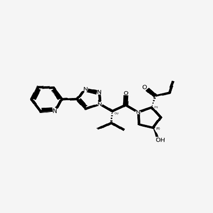 CCC(=O)[C@@H]1C[C@@H](O)CN1C(=O)[C@H](C(C)C)n1cc(-c2ccccn2)nn1